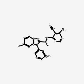 C[C@H](Nc1ncnc(N)c1C#N)c1nc2ccc(F)cc2n1-c1cncc(F)c1